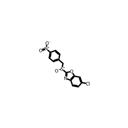 O=[N+]([O-])c1ccc(C[S+]([O-])c2nc3ccc(Cl)cc3o2)cc1